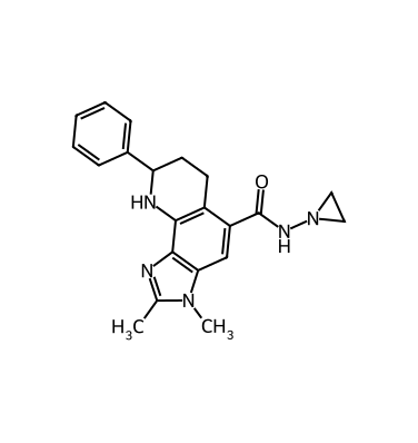 Cc1nc2c3c(c(C(=O)NN4CC4)cc2n1C)CCC(c1ccccc1)N3